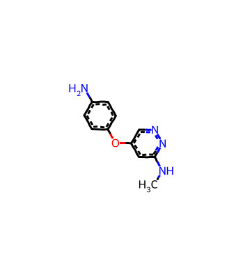 CNc1cc(Oc2ccc(N)cc2)cnn1